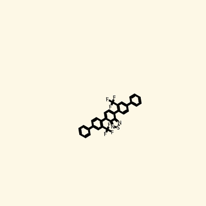 FC(F)(F)c1cc(-c2ccccc2)ccc1-c1ccc(-c2ccc(-c3ccccc3)cc2C(F)(F)F)c2nsnc12